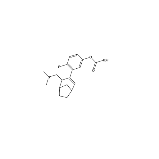 CN(C)CC1C(c2cc(OC(=O)C(C)(C)C)ccc2F)=CC2CCC1C2